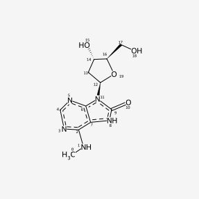 CNc1ncnc2c1[nH]c(=O)n2[C@H]1C[C@H](O)[C@@H](CO)O1